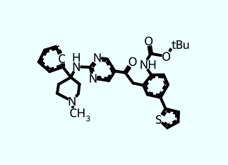 CN1CCC(Nc2ncc(C(=O)Cc3cc(-c4cccs4)ccc3NC(=O)OC(C)(C)C)cn2)(c2ccccc2)CC1